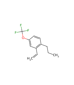 C=Cc1cc(OC(F)(F)F)ccc1CCC